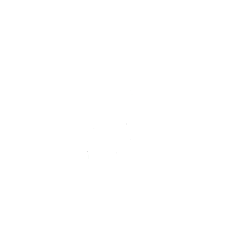 CC=C(F)c1ccc(Cl)cc1